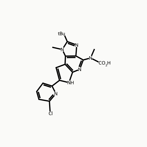 CN(C(=O)O)c1nc2[nH]c(-c3cccc(Cl)n3)cc2c2c1nc(C(C)(C)C)n2C